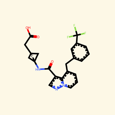 O=C(O)CC12CC(NC(=O)c3cnn4cccc(Cc5cccc(C(F)(F)F)c5)c34)(C1)C2